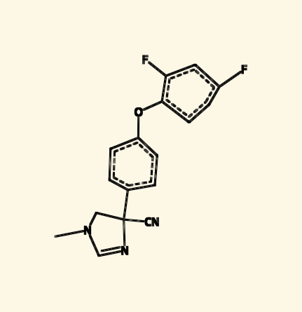 CN1C=NC(C#N)(c2ccc(Oc3ccc(F)cc3F)cc2)C1